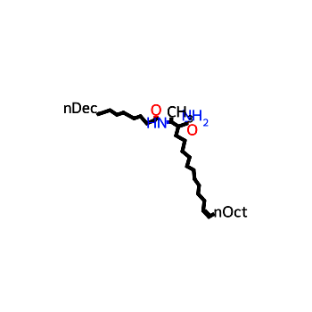 CCCCCCCC/C=C\CCCCCCCCCCC(C(N)=O)C(C)NC(=O)CCCCCCCCCCCCCCCCC